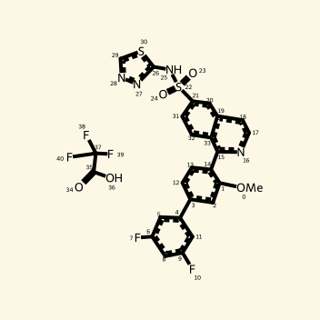 COc1cc(-c2cc(F)cc(F)c2)ccc1-c1nccc2cc(S(=O)(=O)Nc3nncs3)ccc12.O=C(O)C(F)(F)F